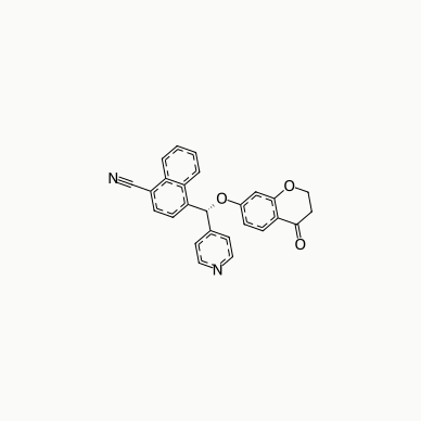 N#Cc1ccc([C@H](Oc2ccc3c(c2)OCCC3=O)c2ccncc2)c2ccccc12